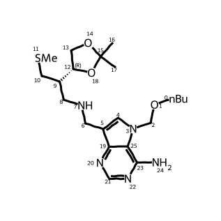 CCCCOCn1cc(CNCC(CSC)[C@@H]2COC(C)(C)O2)c2ncnc(N)c21